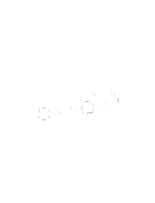 CCC(=O)NC[C@@H]1CCCN1c1nc(N2CCN(c3ccc(Cl)cc3)CC2)nc2c1[S+]([O-])CC2